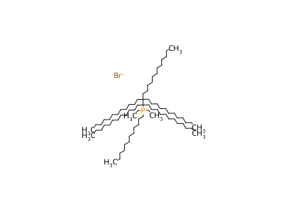 CCCCCCCCCCCCC(CCCCCCCCCCCC)(CCCCCCCCCCCC)C(CCCCCCCCCCCC)(CCCCCCCCCCCC)[P+](CC)(CC)CCCCCCCCCCCC.[Br-]